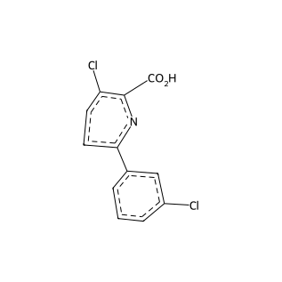 O=C(O)c1nc(-c2cccc(Cl)c2)ccc1Cl